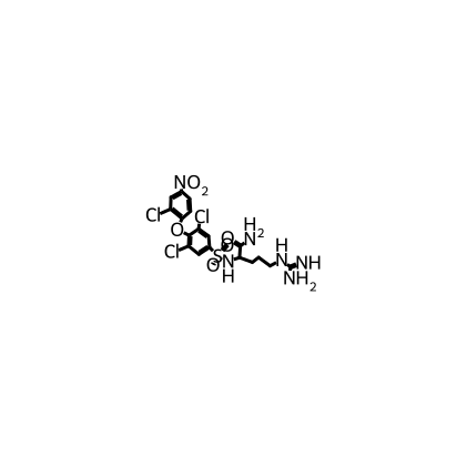 N=C(N)NCCCC(NS(=O)(=O)c1cc(Cl)c(Oc2ccc([N+](=O)[O-])cc2Cl)c(Cl)c1)C(N)=O